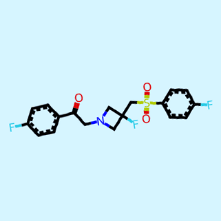 O=C(CN1CC(F)(CS(=O)(=O)c2ccc(F)cc2)C1)c1ccc(F)cc1